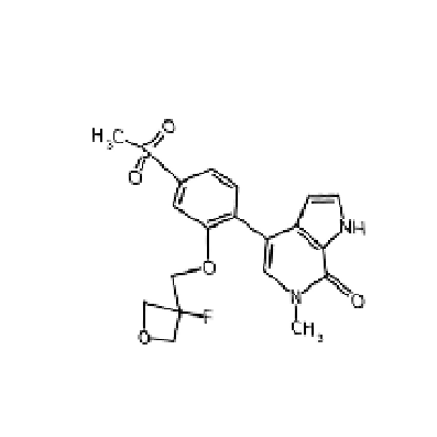 Cn1cc(-c2ccc(S(C)(=O)=O)cc2OCC2(F)COC2)c2cc[nH]c2c1=O